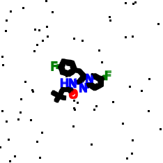 CC(C)(C)CC(=O)Nc1nc2ccc(F)cn2c1Cc1ccc(F)cc1